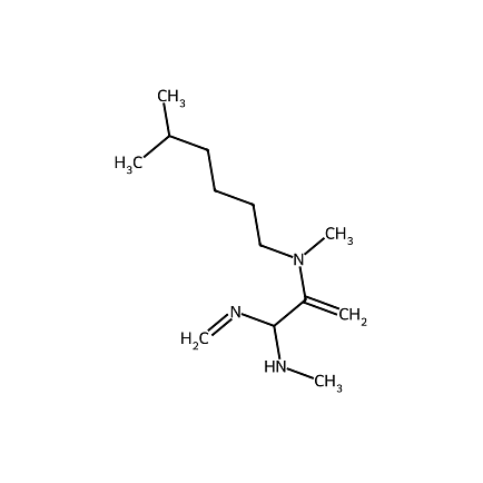 C=NC(NC)C(=C)N(C)CCCCC(C)C